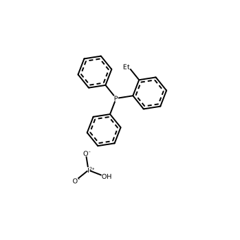 CCc1ccccc1P(c1ccccc1)c1ccccc1.[O-][I+2]([O-])O